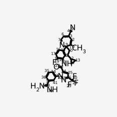 CC1=CC(C#N)=CC=NC1(CCC1CC1)c1ccc(F)c(NC(=O)c2cc(C(F)(F)F)nn2-c2cccc(C(=N)N)c2)c1